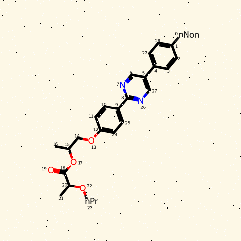 CCCCCCCCCc1ccc(-c2cnc(-c3ccc(OCC(C)OC(=O)C(C)OCCC)cc3)nc2)cc1